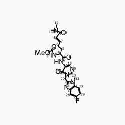 COC(=O)N[C@@H](CC/C=C/C(=O)N(C)C)C(=O)Nc1cncn(Cc2nc3cc(F)ccc3n2C)c1=O